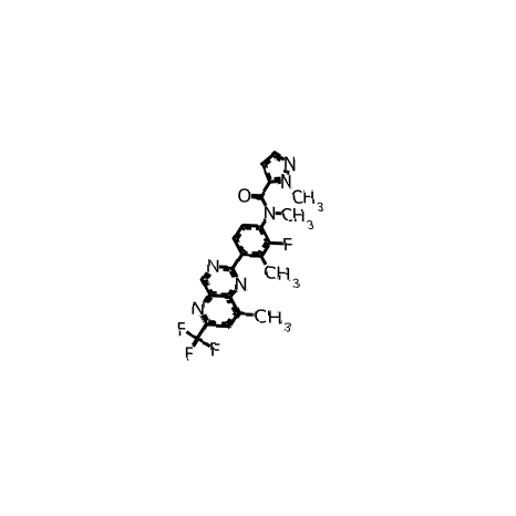 Cc1c(-c2ncc3nc(C(F)(F)F)cc(C)c3n2)ccc(N(C)C(=O)c2ccnn2C)c1F